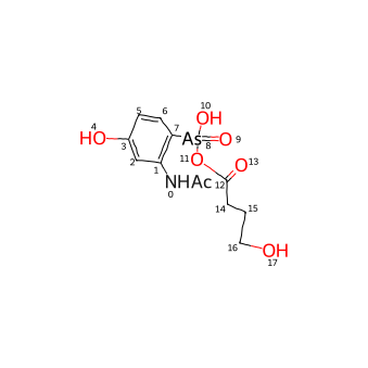 CC(=O)Nc1cc(O)ccc1[As](=O)(O)OC(=O)CCCO